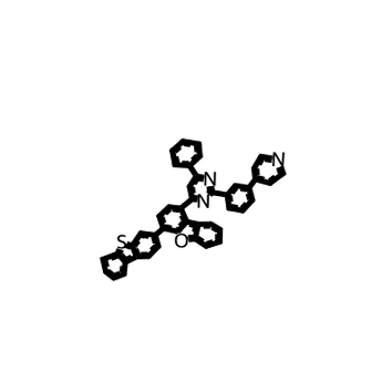 c1ccc(-c2cc(-c3ccc(-c4ccc5c(c4)sc4ccccc45)c4oc5ccccc5c34)nc(-c3cccc(-c4ccncc4)c3)n2)cc1